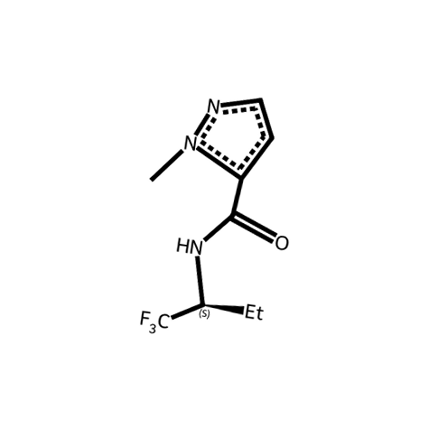 CC[C@H](NC(=O)c1ccnn1C)C(F)(F)F